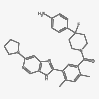 Cc1cc(C)c(-c2nc3cc(N4CCCC4)ncc3[nH]2)cc1C(=O)N1CCC(F)(c2ccc(N)cc2)CC1